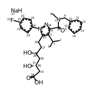 CC(C)c1c(C(=O)N(C)Cc2ccccc2)nn(-c2ccc(F)cc2)c1CC[C@@H](O)C[C@@H](O)CC(=O)O.[NaH]